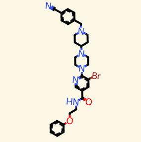 N#Cc1ccc(CN2CCC(N3CCN(c4ncc(C(=O)NCCOc5ccccc5)cc4Br)CC3)CC2)cc1